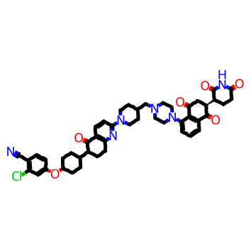 N#Cc1ccc(OC2CCC(C3CCc4nc(N5CCC(CN6CCN(c7cccc8c7C(=O)C[C@@H](C7CCC(=O)NC7=O)C8=O)CC6)CC5)ccc4C3=O)CC2)cc1Cl